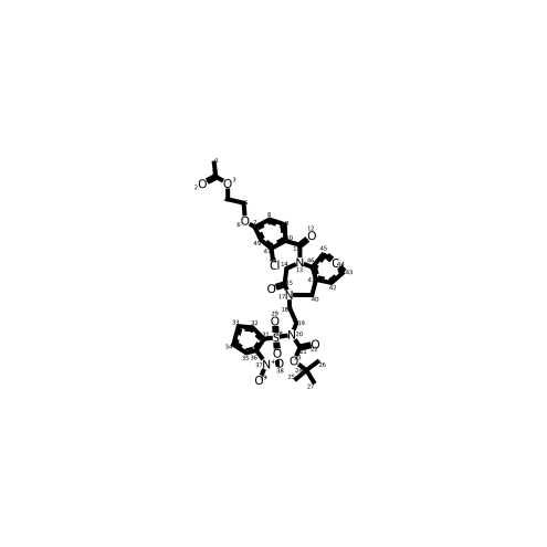 CC(=O)OCCOc1ccc(C(=O)N2CC(=O)N(CCN(C(=O)OC(C)(C)C)S(=O)(=O)c3ccccc3[N+](=O)[O-])Cc3ccccc32)c(Cl)c1